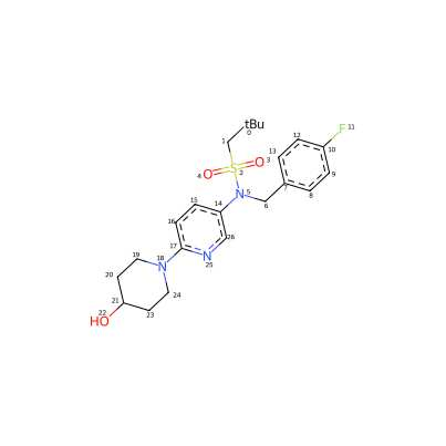 CC(C)(C)CS(=O)(=O)N(Cc1ccc(F)cc1)c1ccc(N2CCC(O)CC2)nc1